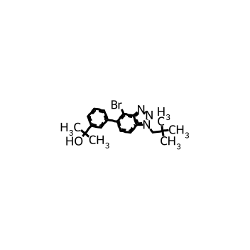 CC(C)(C)Cn1nnc2c(Br)c(-c3cccc(C(C)(C)O)c3)ccc21